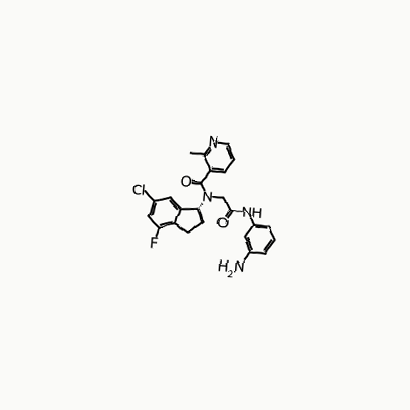 Cc1ncccc1C(=O)N(CC(=O)Nc1cccc(N)c1)[C@@H]1CCc2c(F)cc(Cl)cc21